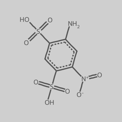 Nc1cc([N+](=O)[O-])c(S(=O)(=O)O)cc1S(=O)(=O)O